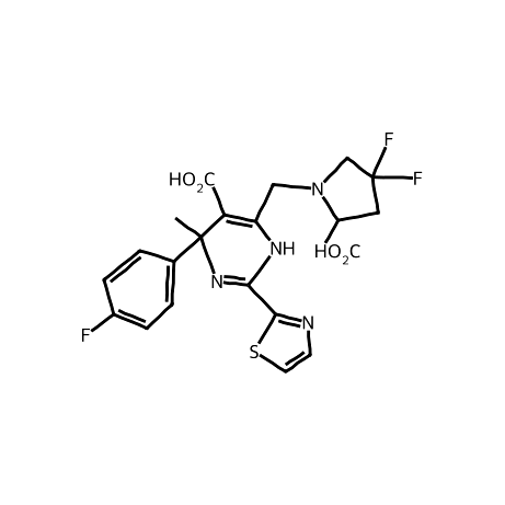 CC1(c2ccc(F)cc2)N=C(c2nccs2)NC(CN2CC(F)(F)CC2C(=O)O)=C1C(=O)O